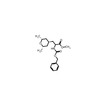 COC(=O)C(C[C@@H]1C[C@@H](C)O[C@@H](C)C1)NC(=O)OCc1ccccc1